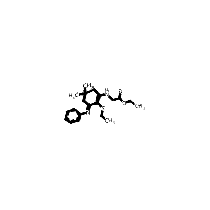 CCOC(=O)CNC1=C(SCC)/C(=N/c2ccccc2)CC(C)(C)C1